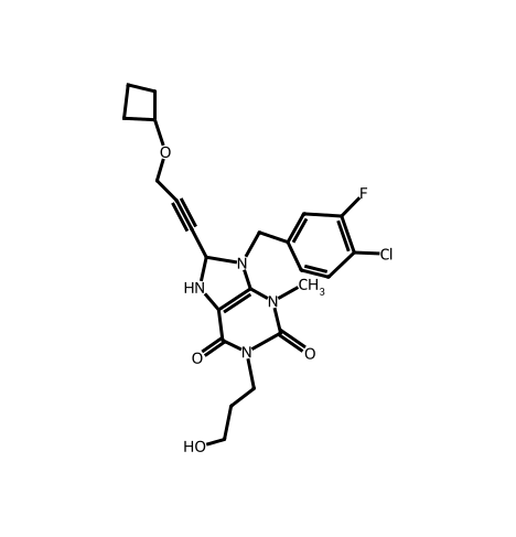 Cn1c2c(c(=O)n(CCCO)c1=O)NC(C#CCOC1CCC1)N2Cc1ccc(Cl)c(F)c1